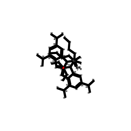 CCC[CH2][Zr]([CH3])([CH3])(=[SiH2])([CH2]CCC)([CH]1C(CC)=Cc2c(C(C)C)cc(C(C)C)cc21)[CH]1C(CC)=Cc2c(C(C)C)cc(C(C)C)cc21